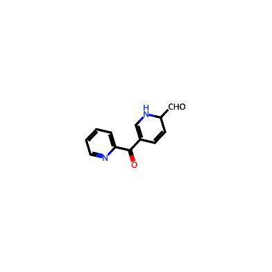 O=CC1C=CC(C(=O)c2ccccn2)=CN1